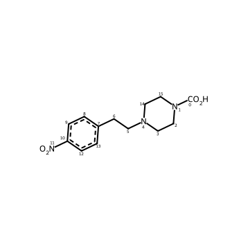 O=C(O)N1CCN(CCc2ccc([N+](=O)[O-])cc2)CC1